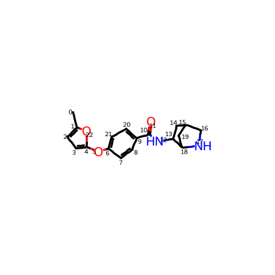 Cc1ccc(Oc2ccc(C(=O)NC3CC4CNC3C4)cc2)o1